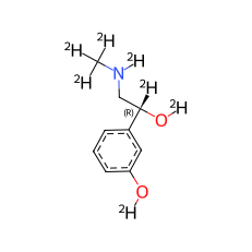 [2H]Oc1cccc([C@]([2H])(CN([2H])C([2H])([2H])[2H])O[2H])c1